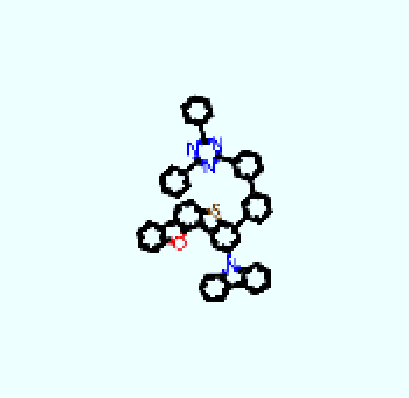 c1ccc(-c2nc(-c3ccccc3)nc(-c3cccc(-c4cccc(-c5cc(-n6c7ccccc7c7ccccc76)cc6c5sc5ccc7c8ccccc8oc7c56)c4)c3)n2)cc1